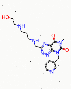 Cn1c(=O)c2nc(CNCCCNCCO)nnc2n(Cc2cccnc2)c1=O